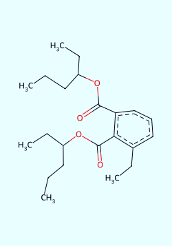 CCCC(CC)OC(=O)c1cccc(CC)c1C(=O)OC(CC)CCC